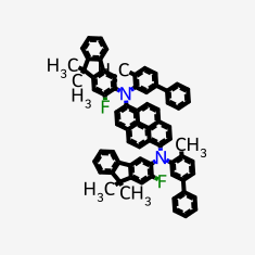 Cc1ccc(-c2ccccc2)cc1N(c1cc2c(cc1F)C(C)(C)c1ccccc1-2)c1ccc2ccc3c(N(c4cc(-c5ccccc5)ccc4C)c4cc5c(cc4F)C(C)(C)c4ccccc4-5)ccc4ccc1c2c43